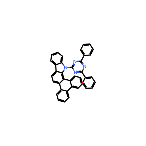 c1ccc(-c2nc(-c3ccccc3)nc(-n3c4ccccc4c4ccc5c6ccccc6c6ccccc6c5c43)n2)cc1